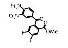 COC(=O)c1cc(F)c(F)cc1C(=O)c1ccc(N)c([N+](=O)[O-])c1